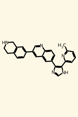 Cc1cccc(-c2[nH]cnc2-c2ccc3ncc(-c4ccc5c(c4)CNCC5)cc3c2)n1